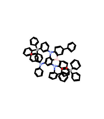 c1ccc(-c2ccc3c(c2)B2c4ccc([Si](c5ccccc5)(c5ccccc5)c5ccccc5)cc4N(c4ccccc4-c4ccccc4)c4cc(N(c5ccccc5)c5ccccc5)cc(c42)N3c2cccc([Si](c3ccccc3)(c3ccccc3)c3ccccc3)c2)cc1